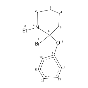 CCN1CCCCC1(Br)Oc1ccccc1